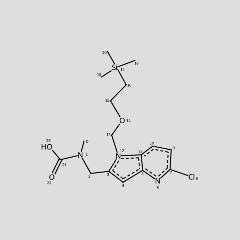 CN(Cc1cc2nc(Cl)ccc2n1COCC[Si](C)(C)C)C(=O)O